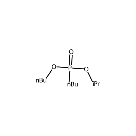 CCCCOP(=O)(CCCC)OC(C)C